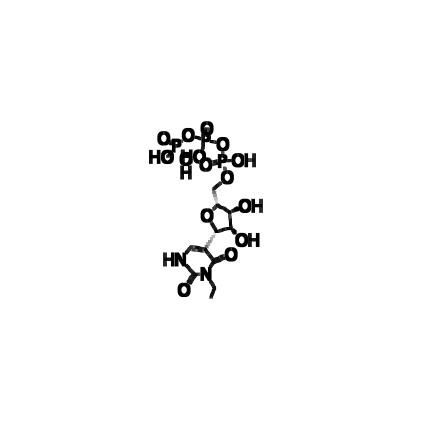 CCn1c(=O)[nH]cc([C@@H]2O[C@H](COP(=O)(O)OP(=O)(O)OP(=O)(O)O)[C@@H](O)[C@H]2O)c1=O